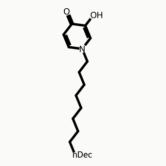 CCCCCCCCCCCCCCCCCCn1ccc(=O)c(O)c1